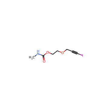 CNC(=O)OCCOCC#CI